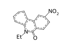 CCn1c(=O)c2ccc([N+](=O)[O-])cc2c2ccccc21